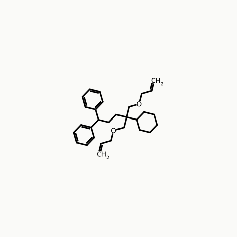 C=CCOCC(CCC(c1ccccc1)c1ccccc1)(COCC=C)C1CCCCC1